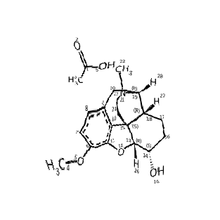 CC(=O)O.COc1ccc2c3c1O[C@H]1[C@@H](O)CC[C@H]4[C@@H](C2)N(C)CC[C@@]341